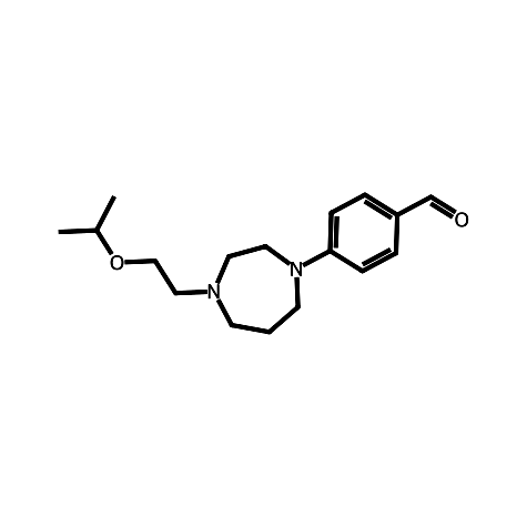 CC(C)OCCN1CCCN(c2ccc(C=O)cc2)CC1